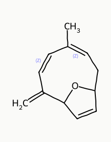 C=C1/C=C\C(C)=C/CC2C=CC1O2